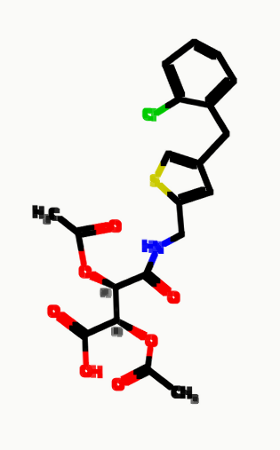 CC(=O)O[C@@H](C(=O)O)[C@@H](OC(C)=O)C(=O)NCc1cc(Cc2ccccc2Cl)cs1